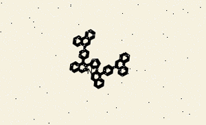 c1ccc2c(-c3ccc(-c4cc5ccccc5c5ccccc45)cc3)c3c4cccc5c6c(-c7ccc(-c8cc9ccccc9c9ccccc89)cc7)c7ccccc7cc6n(c3cc2c1)c45